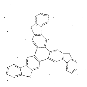 c1ccc2c(c1)sc1cc3c4cc5c(cc4c4cc6c(cc4c3cc12)sc1ccccc16)sc1ccccc15